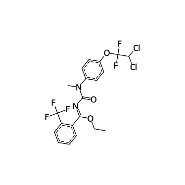 CCO/C(=N\C(=O)N(C)c1ccc(OC(F)(F)C(Cl)Cl)cc1)c1ccccc1C(F)(F)F